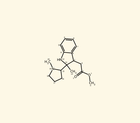 COC(=O)CC1c2ccccc2NC1(C)C1CCCN1C